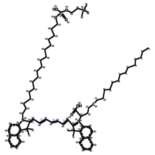 CCCCCCCCCCCCCCCCCC(C(=O)O)[N+]1=C(/C=C/C=C/C=C/C=C2/N(CCCCCCCCCCCCCCCCCCOP(=O)(O)OCC[N+](C)(C)C)c3ccc4ccccc4c3C2(C)C)C(C)(C)c2c1ccc1ccccc21